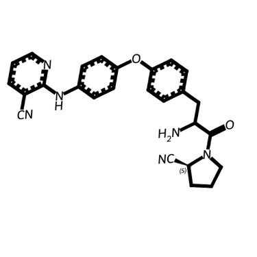 N#Cc1cccnc1Nc1ccc(Oc2ccc(CC(N)C(=O)N3CCC[C@H]3C#N)cc2)cc1